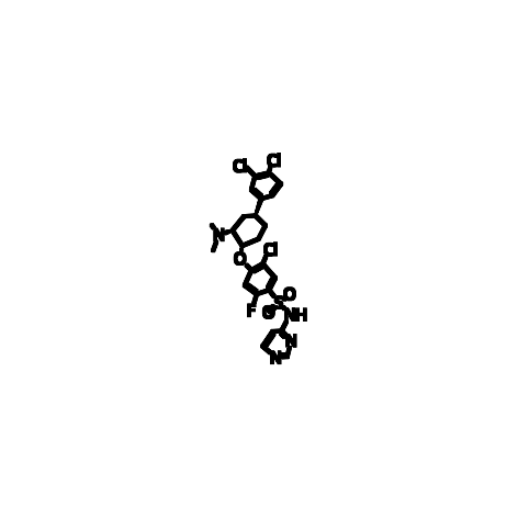 CN(C)[C@H]1C[C@@H](c2ccc(Cl)c(Cl)c2)CC[C@@H]1Oc1cc(F)c(S(=O)(=O)Nc2ccncn2)cc1Cl